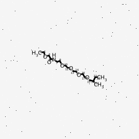 CCOCC(=O)NCCOCCOCCOCCOCC(C)CC